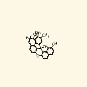 Cc1cc(C2(C)c3c(ccc4ccc(O)cc34)Oc3ccc4ccc(O)cc4c32)cc(C)c1O